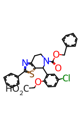 O=C(O)COc1ccc(Cl)cc1C1c2sc(-c3ccccc3)nc2CCN1C(=O)OCc1ccccc1